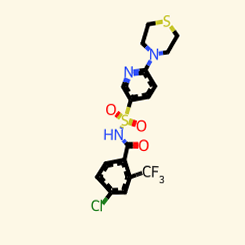 O=C(NS(=O)(=O)c1ccc(N2CCSCC2)nc1)c1ccc(Cl)cc1C(F)(F)F